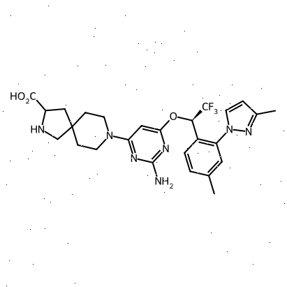 Cc1ccc([C@@H](Oc2cc(N3CCC4(CC3)CNC(C(=O)O)C4)nc(N)n2)C(F)(F)F)c(-n2ccc(C)n2)c1